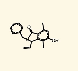 C=CC1c2c(C)c(O)cc(C)c2C(=O)N1Cc1ccccc1